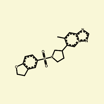 Cc1cc2ncnn2cc1C1CCN(S(=O)(=O)c2ccc3c(c2)CCO3)C1